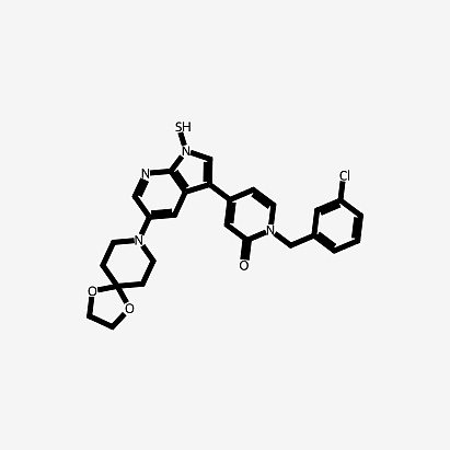 O=c1cc(-c2cn(S)c3ncc(N4CCC5(CC4)OCCO5)cc23)ccn1Cc1cccc(Cl)c1